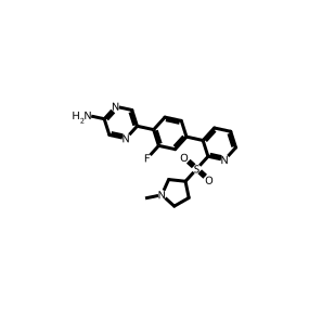 CN1CCC(S(=O)(=O)c2ncccc2-c2ccc(-c3cnc(N)cn3)c(F)c2)C1